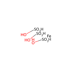 O=S(=O)(O)O.O=S(=O)(O)O.O=S(=O)(O)O.[Fe]